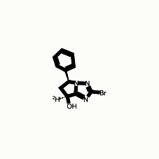 [2H][C@]1(O)C[C@@H](c2ccccc2)n2nc(Br)nc21